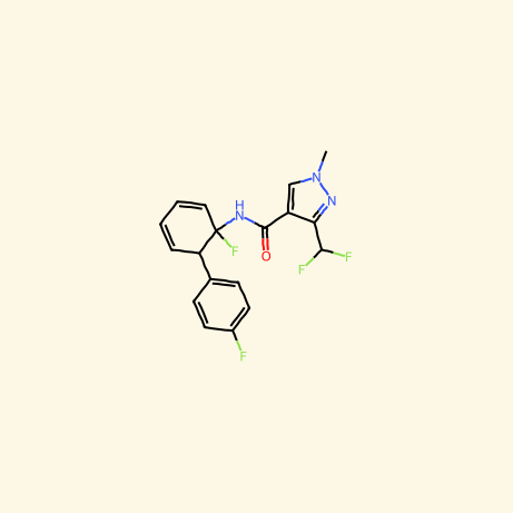 Cn1cc(C(=O)NC2(F)C=CC=CC2c2ccc(F)cc2)c(C(F)F)n1